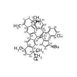 CC1=CCC(C)(C)c2cc3c(cc21)-c1cc2c(cc1[CH]3[Zr+2]([C]1=CC(C(C)(C)C)=CC1)=[C](c1ccccc1)c1ccccc1)C(C)(C)CC=C2C.[Cl-].[Cl-]